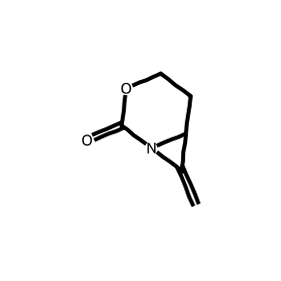 C=C1C2CCOC(=O)N12